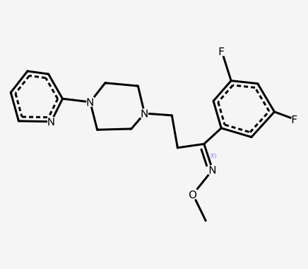 CO/N=C(\CCN1CCN(c2ccccn2)CC1)c1cc(F)cc(F)c1